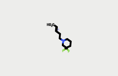 O=C(O)/C=C/CCN1CCCC(F)(F)C1